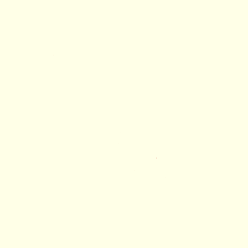 CC1(C)c2cc(Br)ccc2-c2ccc(-c3ccc4c(c3)-c3ccccc3C43c4ccccc4C(C)(C)c4ccccc43)cc21